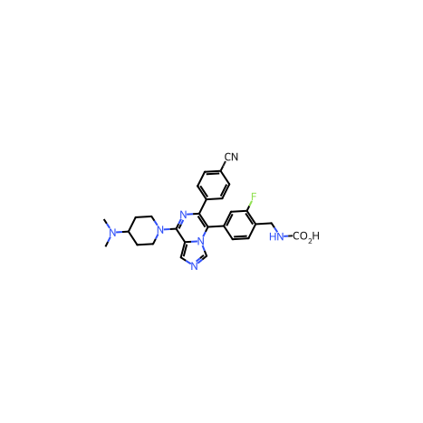 CN(C)C1CCN(c2nc(-c3ccc(C#N)cc3)c(-c3ccc(CNC(=O)O)c(F)c3)n3cncc23)CC1